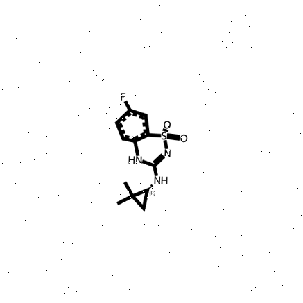 CC1(C)C[C@H]1NC1=NS(=O)(=O)c2cc(F)ccc2N1